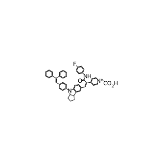 O=C(O)C[n+]1ccc(/C(=C/c2ccc3c(c2)C2CCCC2N3c2ccc(C=C(c3ccccc3)c3ccccc3)cc2)C(=O)Nc2ccc(F)cc2)cc1